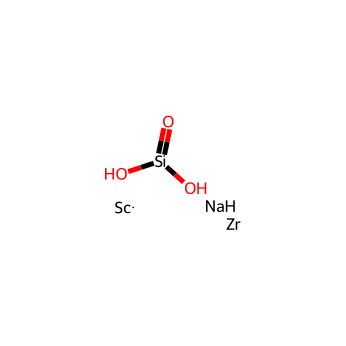 O=[Si](O)O.[NaH].[Sc].[Zr]